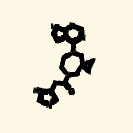 O=C(Cc1cnc[nH]1)N1CCN(c2ncnc3[nH]ccc23)CC2(CC2)C1